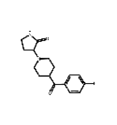 O=C(c1ccc(F)cc1)C1CCN(C2CCNC2=O)CC1